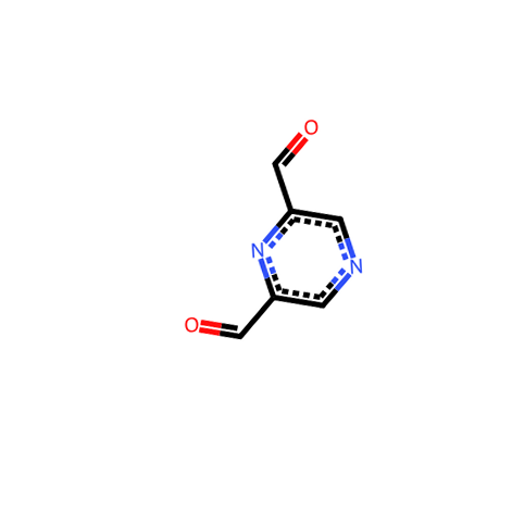 O=Cc1cncc(C=O)n1